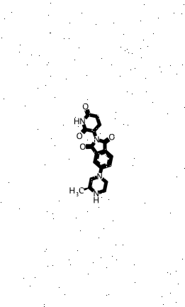 C[C@H]1CN(c2ccc3c(c2)C(=O)N(C2CCC(=O)NC2=O)C3=O)CCN1